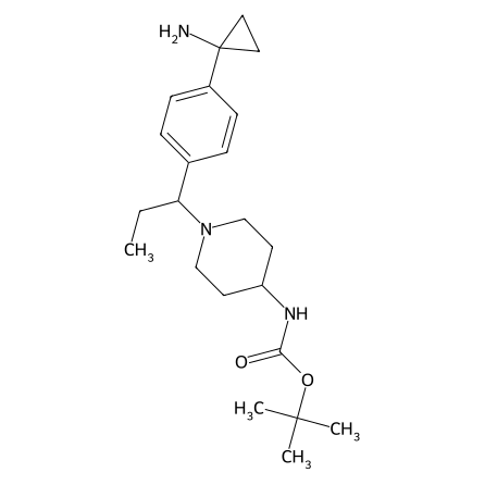 CCC(c1ccc(C2(N)CC2)cc1)N1CCC(NC(=O)OC(C)(C)C)CC1